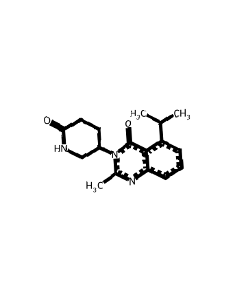 Cc1nc2cccc(C(C)C)c2c(=O)n1C1CCC(=O)NC1